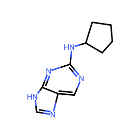 c1nc2cnc(NC3CCCC3)nc2[nH]1